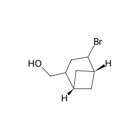 OCC1CC(Br)[C@H]2C[C@@H]1C2